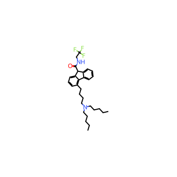 CCCCCN(CCCCC)CCCCc1cccc2c1-c1ccccc1C2C(=O)NCC(F)(F)F